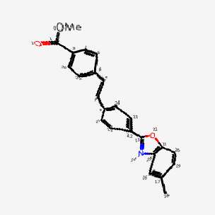 COC(=O)c1ccc(C=Cc2ccc(-c3nc4cc(C)ccc4o3)cc2)cc1